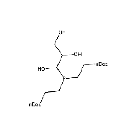 CCCCCCCCCCCCP(CCCCCCCCCCCC)C(O)C(O)CO